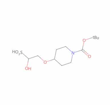 CC(C)(C)OC(=O)N1CCC(OCC(O)S(=O)(=O)O)CC1